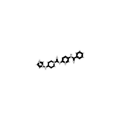 O=C(Nc1ccc(OC(=O)N2CCC(On3ccnc3)CC2)nc1)c1ccccc1